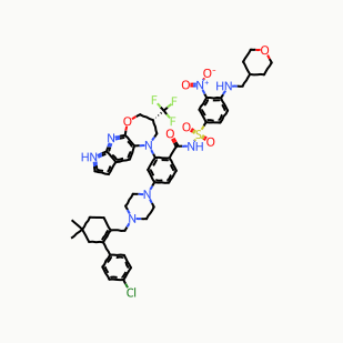 CC1(C)CCC(CN2CCN(c3ccc(C(=O)NS(=O)(=O)c4ccc(NCC5CCOCC5)c([N+](=O)[O-])c4)c(N4C[C@@H](C(F)(F)F)COc5nc6[nH]ccc6cc54)c3)CC2)=C(c2ccc(Cl)cc2)C1